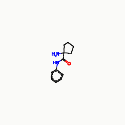 NC1(C(=O)Nc2ccccc2)CCCC1